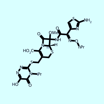 CCCON=C(C(=O)NC1(OC)C(=O)N2C(C(=O)O)=C(CSc3nnc(O)c(=O)n3C(C)C)CS[C@H]21)c1csc(N)n1